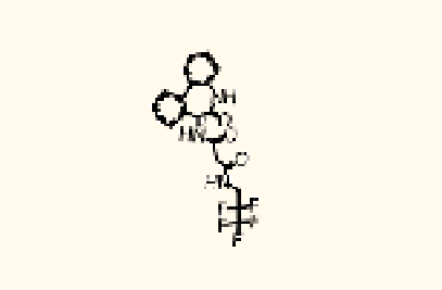 O=C(CC(=O)N[C@@H]1C(=O)Nc2ccccc2-c2ccccc21)NCC(F)(F)C(F)(F)F